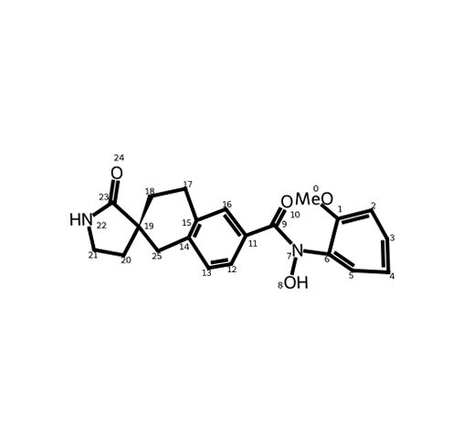 COc1ccccc1N(O)C(=O)c1ccc2c(c1)CC[C@]1(CCNC1=O)C2